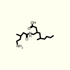 CCCCC(C)CC(CNC(=O)CC(C)CCN)CC(=O)O